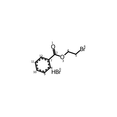 Br.O=C(OCCBr)c1ccccc1